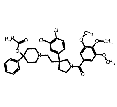 COc1cc(C(=O)N2CCC(CCN3CCC(OC(N)=O)(c4ccccc4)CC3)(c3ccc(Cl)c(Cl)c3)C2)cc(OC)c1OC